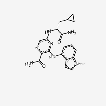 Cn1ccc2c(Nc3nc(N[C@H](CC4CC4)C(N)=O)cnc3C(N)=O)cccc21